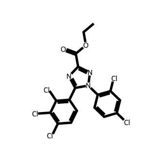 CCOC(=O)c1nc(-c2ccc(Cl)c(Cl)c2Cl)n(-c2ccc(Cl)cc2Cl)n1